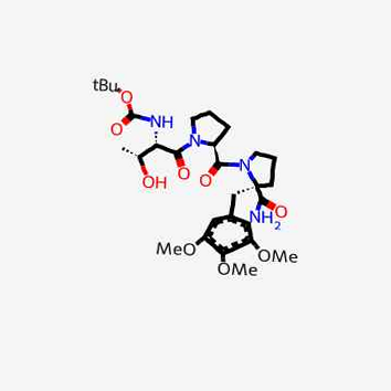 COc1cc(C[C@@]2(C(N)=O)CCCN2C(=O)[C@@H]2CCCN2C(=O)[C@@H](NC(=O)OC(C)(C)C)[C@@H](C)O)cc(OC)c1OC